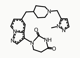 Cn1nccc1CN1CCC(Cc2ccn3ncc(N4CCC(=O)NC4=O)c3c2)CC1